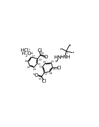 CNNC(C)(C)C.Cl.O.O=C(Cl)c1cccc(Cl)c1.O=C(Cl)c1ccccc1